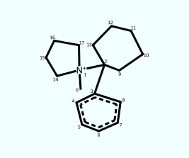 C[N+]1(C2(c3ccccc3)CCCCC2)CCCC1